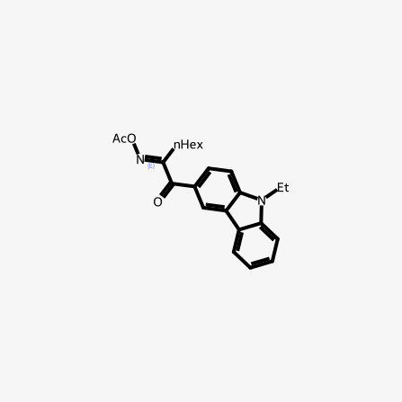 CCCCCC/C(=N\OC(C)=O)C(=O)c1ccc2c(c1)c1ccccc1n2CC